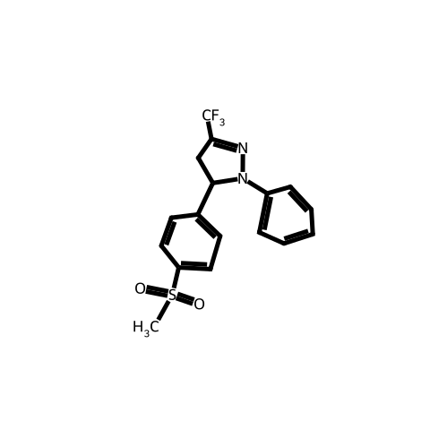 CS(=O)(=O)c1ccc(C2CC(C(F)(F)F)=NN2c2ccccc2)cc1